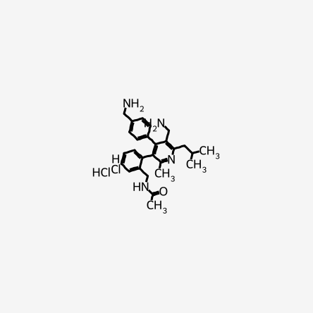 CC(=O)NCc1ccccc1-c1c(C)nc(CC(C)C)c(CN)c1-c1ccc(CN)cc1.Cl.Cl